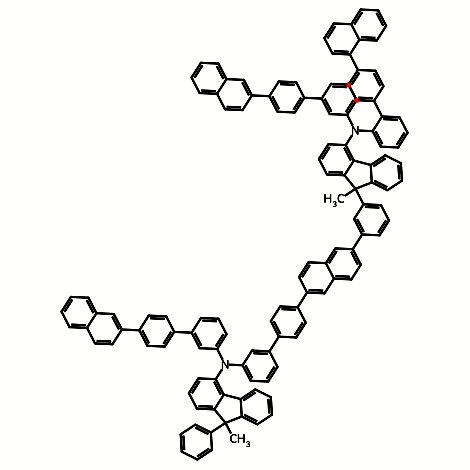 CC1(c2ccccc2)c2ccccc2-c2c(N(c3cccc(-c4ccc(-c5ccc6ccccc6c5)cc4)c3)c3cccc(-c4ccc(-c5ccc6cc(-c7cccc(C8(C)c9ccccc9-c9c(N(c%10cccc(-c%11ccc(-c%12ccc%13ccccc%13c%12)cc%11)c%10)c%10ccccc%10-c%10ccc(-c%11cccc%12ccccc%11%12)cc%10)cccc98)c7)ccc6c5)cc4)c3)cccc21